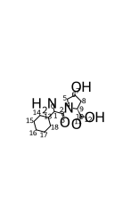 NC(C(=O)N1C[C@H](O)C[C@H]1C(=O)O)C1CCCCC1